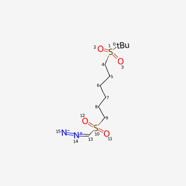 CC(C)(C)S(=O)(=O)CCCCCCS(=O)(=O)C=[N+]=[N-]